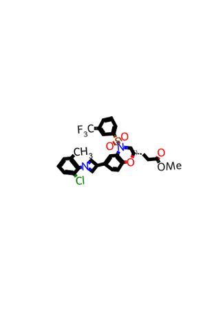 COC(=O)CC[C@H]1CN(S(=O)(=O)c2cccc(C(F)(F)F)c2)c2cc(C3CN(c4c(C)cccc4Cl)C3)ccc2O1